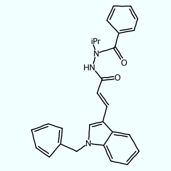 CC(C)N(NC(=O)C=Cc1cn(Cc2ccccc2)c2ccccc12)C(=O)c1ccccc1